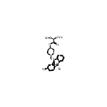 COC(OC)C(=O)NC1CCN(C[C@@]23C[C@@H](c4ccccc42)c2ccc(Cl)cc23)CC1